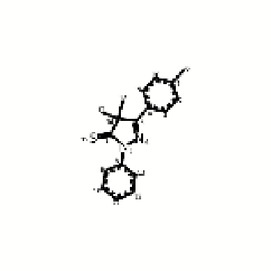 Cc1ccc(C2=NN(c3ccccc3)C(=S)C2(C)C)cc1